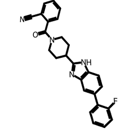 N#Cc1ccccc1C(=O)N1CCC(c2nc3cc(-c4ccccc4F)ccc3[nH]2)CC1